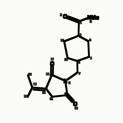 CNC(=O)C1CCC(CN2C(=O)CC(=C(C)C)C2=O)CC1